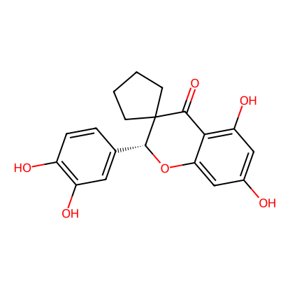 O=C1c2c(O)cc(O)cc2O[C@H](c2ccc(O)c(O)c2)C12CCCC2